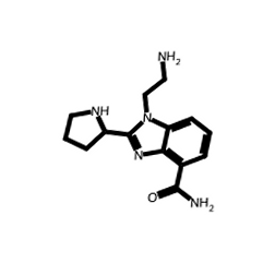 NCCn1c(C2CCCN2)nc2c(C(N)=O)cccc21